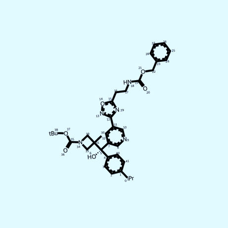 CC(C)c1ccc([C@](O)(c2cncc(-c3noc(CCNC(=O)OCc4ccccc4)n3)c2)C2(C)CN(C(=O)OC(C)(C)C)C2)cc1